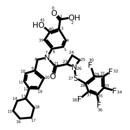 O=C(O)c1ccc(N(Cc2ccc(C3CCCCC3)cc2)C(=O)C2CCN2Sc2c(F)c(F)c(F)c(F)c2F)cc1O